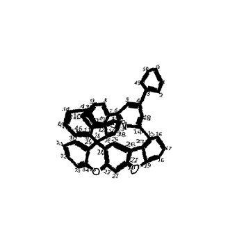 c1ccc(-c2cc(-c3ccccc3)nc(-c3cccc4oc5cc6c(cc5c34)C3(c4ccccc4O6)c4ccccc4-c4ccccc43)c2)cc1